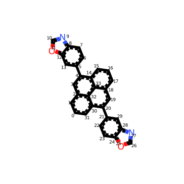 c1cc2cc(-c3ccc4ncoc4c3)c3cccc4cc(-c5ccc6ocnc6c5)c(c1)c2c43